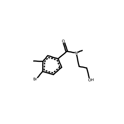 Cc1cc(C(=O)N(C)CCO)ccc1Br